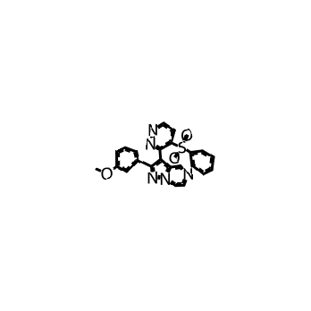 COc1cccc(-c2nn3ccncc3c2-c2nnccc2S(=O)(=O)c2ccccc2)c1